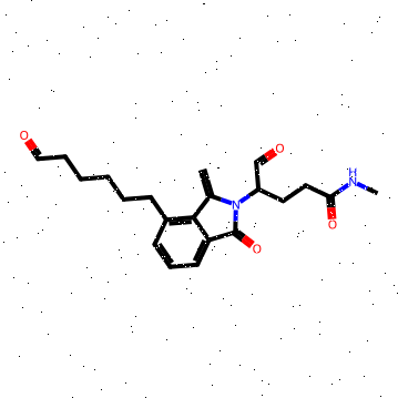 C=C1c2c(CCCCCC=O)cccc2C(=O)N1C(C=O)CCC(=O)NC